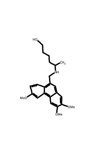 COc1ccc2c(CNC(C)CCCCO)cc3cc(OC)c(OC)cc3c2c1